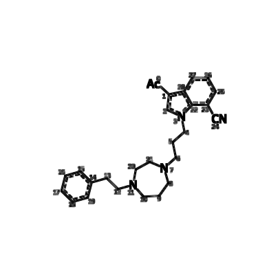 CC(=O)c1cn(CCCN2CCCN(CCc3ccccc3)CC2)c2c(C#N)cccc12